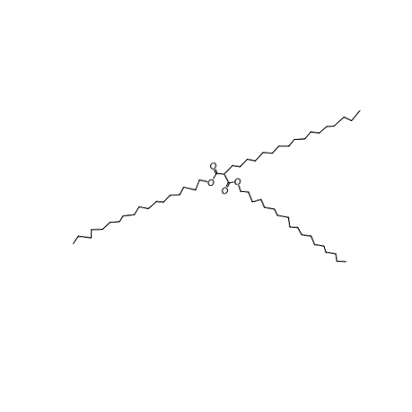 CCCCCCCCCCCCCCCCCCOC(=O)C(CCCCCCCCCCCCCCCCC)C(=O)OCCCCCCCCCCCCCCCCCC